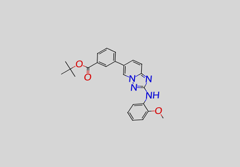 COc1ccccc1Nc1nc2ccc(-c3cccc(C(=O)OC(C)(C)C)c3)cn2n1